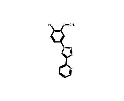 COc1cc(-n2nnc(-c3ccccn3)n2)ccc1Br